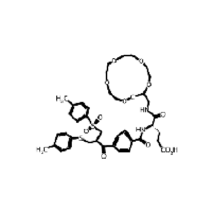 Cc1ccc(SCC(CS(=O)(=O)c2ccc(C)cc2)C(=O)c2ccc(C(=O)N[C@@H](CCC(=O)O)C(=O)NCC3COCCOCCOCCOCCO3)cc2)cc1